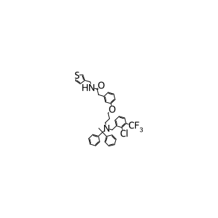 CC(c1ccccc1)(c1ccccc1)N(CCCOc1cccc(CC(=O)NCc2ccsc2)c1)Cc1cccc(C(F)(F)F)c1Cl